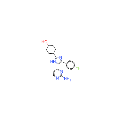 Nc1nccc(-c2[nH]c(C3CCC(O)CC3)nc2-c2ccc(F)cc2)n1